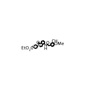 CCOC(=O)N1CCC(n2ccc3c(NC(=O)Cc4ccc(OC)c(C)c4)cccc3c2=O)CC1